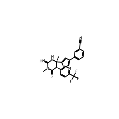 CN1C(=N)N[C@](C)(c2cc(-c3cccc(C#N)c3)cs2)[C@@H](c2ccc(C(F)(F)F)nc2)C1=O